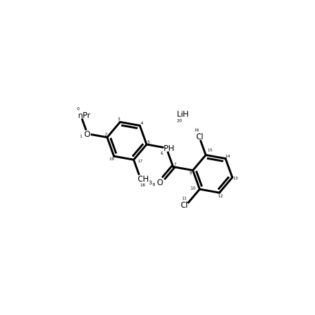 CCCOc1ccc(PC(=O)c2c(Cl)cccc2Cl)c(C)c1.[LiH]